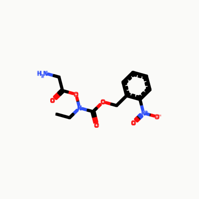 CCN(OC(=O)CN)C(=O)OCc1ccccc1[N+](=O)[O-]